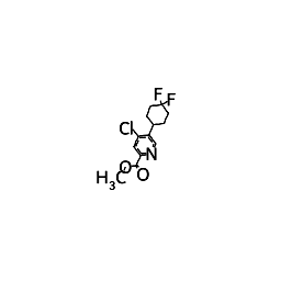 COC(=O)c1cc(Cl)c(C2CCC(F)(F)CC2)cn1